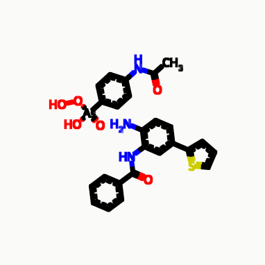 CC(=O)Nc1ccc([As](=O)(O)OO)cc1.Nc1ccc(-c2cccs2)cc1NC(=O)c1ccccc1